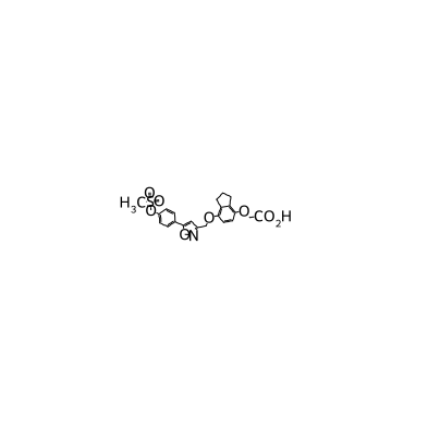 CS(=O)(=O)Oc1ccc(-c2cc(COc3ccc(OCC(=O)O)c4c3CCC4)no2)cc1